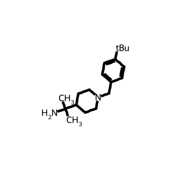 CC(C)(C)c1ccc(CN2CCC(C(C)(C)N)CC2)cc1